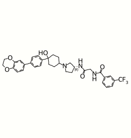 O=C(CNC(=O)c1cccc(C(F)(F)F)c1)N[C@@H]1CCN(C2CCC(O)(c3ccc(-c4ccc5c(c4)OCCO5)cc3)CC2)C1